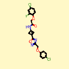 O=C(COc1ccc(Cl)cc1F)NC12CC(c3nc(COc4ccc(Cl)cc4)no3)(C1)C2